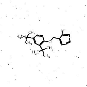 CC(C)(C)c1ccc(OCc2ccccc2Br)c(C(C)(C)C)c1